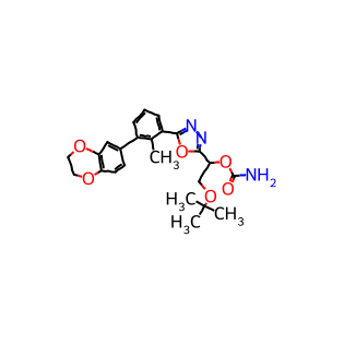 Cc1c(-c2ccc3c(c2)OCCO3)cccc1-c1nnc(C(COC(C)(C)C)OC(N)=O)o1